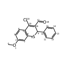 COc1ccc2c(c1)SC(c1ccccc1)C(C=O)=C2Cl